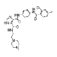 CN1CCN(CCNC(=O)c2[nH]cnc2C(=O)Nc2ccc(NC(=O)c3ccc(F)cc3Cl)cc2)CC1